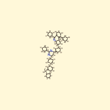 CC1(C)c2ccccc2-c2ccc(-c3ccc(-c4cc(-c5cccc(-c6ccc7c(c6)nc(-c6ccccc6)c6cccc(-c8ccccc8)c67)c5)nc(-c5ccccc5)n4)cc3)cc21